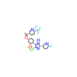 COc1cc(O[C@@H](C)c2ccc(C(F)(F)F)nc2)ccc1-c1[nH]c(-c2ccc(F)nc2)nc1Cl